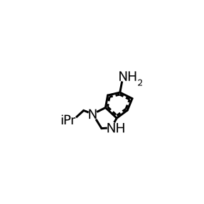 CC(C)CN1CNc2ccc(N)cc21